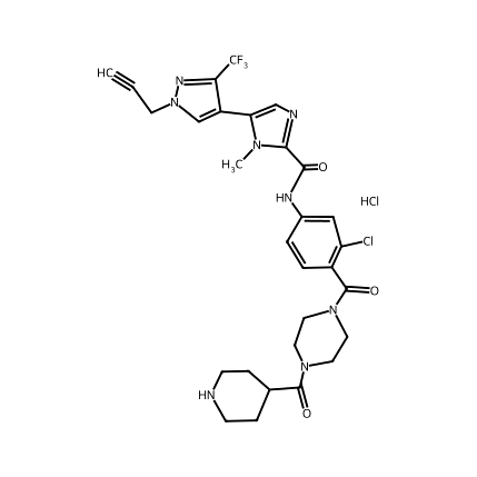 C#CCn1cc(-c2cnc(C(=O)Nc3ccc(C(=O)N4CCN(C(=O)C5CCNCC5)CC4)c(Cl)c3)n2C)c(C(F)(F)F)n1.Cl